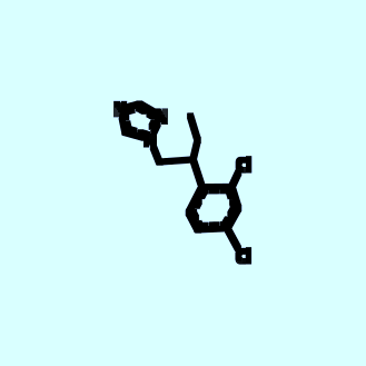 CCC(Cn1cncn1)c1ccc(Cl)cc1Cl